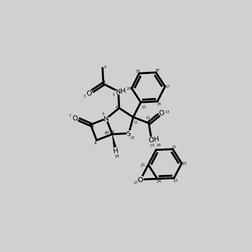 CC(=O)NC1N2C(=O)C[C@H]2SC1(C(=O)O)c1ccccc1.c1ccc2c(c1)O2